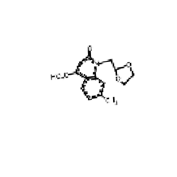 Cc1ccc2c(C(=O)O)cc(=O)n(CC3OCCO3)c2c1